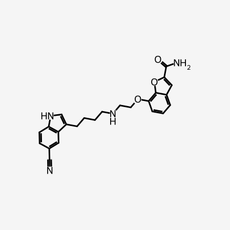 N#Cc1ccc2[nH]cc(CCCCNCCOc3cccc4cc(C(N)=O)oc34)c2c1